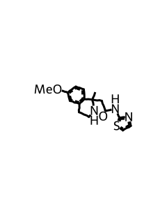 COc1ccc2c(c1)CCNC2(C)CC(=O)Nc1nccs1